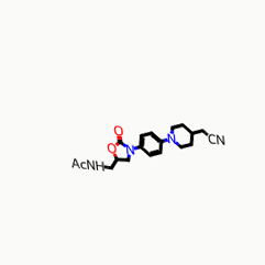 CC(=O)NCC1CN(c2ccc(N3CCC(CC#N)CC3)cc2)C(=O)O1